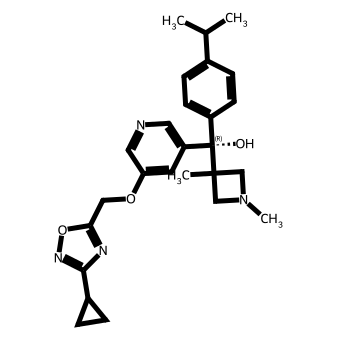 CC(C)c1ccc([C@](O)(c2cncc(OCc3nc(C4CC4)no3)c2)C2(C)CN(C)C2)cc1